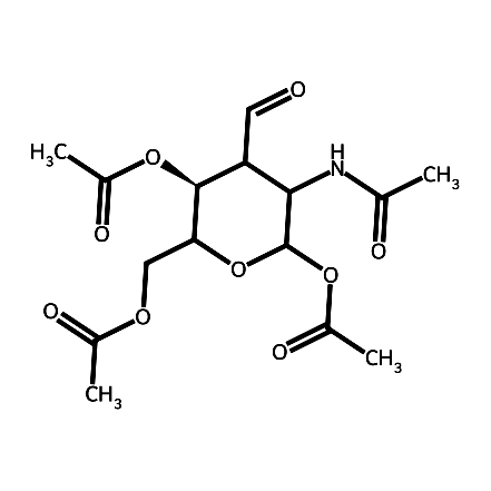 CC(=O)NC1C(OC(C)=O)OC(COC(C)=O)[C@@H](OC(C)=O)C1C=O